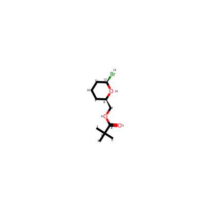 CC(C)(C)C(=O)OC[C@H]1CCC[C@@H](Br)O1